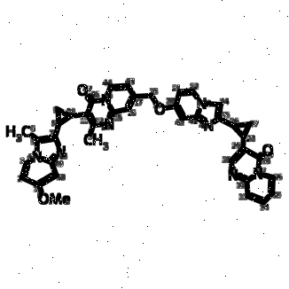 COc1ccn2c(C)c(C3CC3c3c(C)nc4cc(COc5ccn6cc(C7CC7c7cnc8ccccn8c7=O)nc6c5)ccn4c3=O)nc2c1